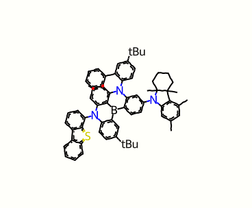 Cc1cc2c3c(c1)N(c1cccc4c1sc1ccccc14)c1ccc(C(C)(C)C)cc1B3c1ccc(N3c4cc(C)cc(C)c4C4(C)CCCCC34C)cc1N2c1ccc(C(C)(C)C)cc1-c1ccccc1